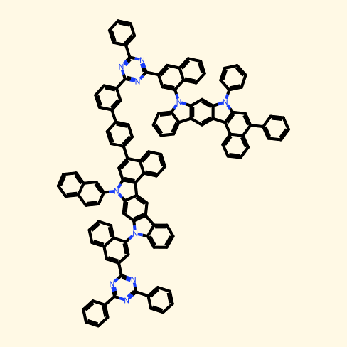 c1ccc(-c2nc(-c3cccc(-c4ccc(-c5cc6c(c7ccccc57)c5cc7c8ccccc8n(-c8cc(-c9nc(-c%10ccccc%10)nc(-c%10ccccc%10)n9)cc9ccccc89)c7cc5n6-c5ccc6ccccc6c5)cc4)c3)nc(-c3cc(-n4c5ccccc5c5cc6c7c8ccccc8c(-c8ccccc8)cc7n(-c7ccccc7)c6cc54)c4ccccc4c3)n2)cc1